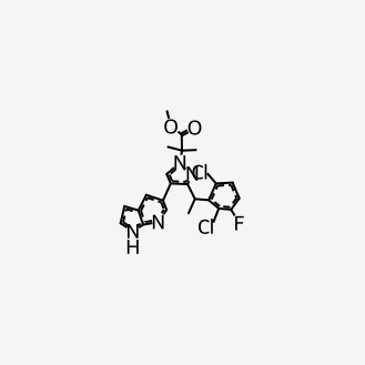 COC(=O)C(C)(C)n1cc(-c2cnc3[nH]ccc3c2)c(C(C)c2c(Cl)ccc(F)c2Cl)n1